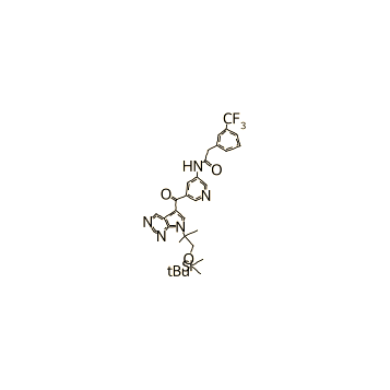 CC(C)(CO[Si](C)(C)C(C)(C)C)n1cc(C(=O)c2cncc(NC(=O)Cc3cccc(C(F)(F)F)c3)c2)c2cncnc21